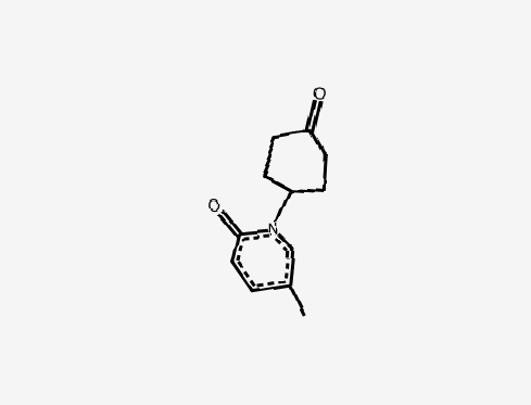 Cc1ccc(=O)n(C2CCC(=O)CC2)c1